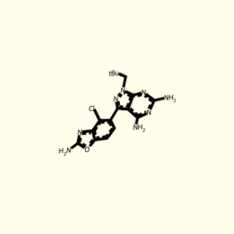 CC(C)(C)Cn1nc(-c2ccc3oc(N)nc3c2Cl)c2c(N)nc(N)nc21